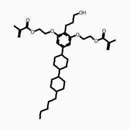 C=C(C)C(=O)OCCOc1cc(C2CCC(C3CCC(CCCCC)CC3)CC2)cc(OCCOC(=O)C(=C)C)c1CCCO